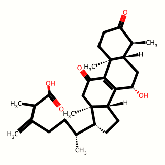 C=C(CC[C@@H](C)[C@H]1CC[C@H]2C3=C(C(=O)C[C@]12C)[C@@]1(C)CCC(=O)[C@@H](C)[C@@H]1C[C@@H]3O)C(C)C(=O)O